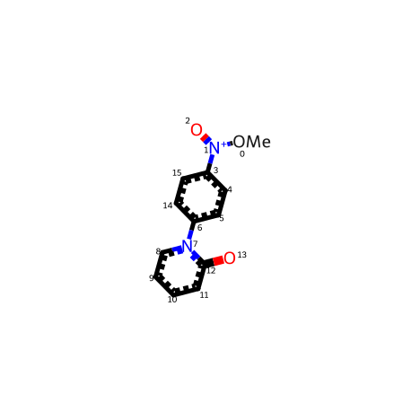 CO[N+](=O)c1ccc(-n2ccccc2=O)cc1